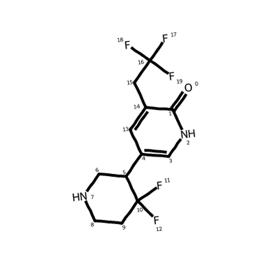 O=c1[nH]cc(C2CNCCC2(F)F)cc1CC(F)(F)F